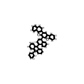 c1ccc(-c2c3ccccc3c(-c3ccc(-c4c5oc6ccccc6c5cc5c4oc4c6ccccc6ccc54)c4ccccc34)c3ccccc23)cc1